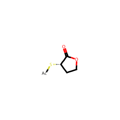 CC(=O)S[C@H]1CCOC1=O